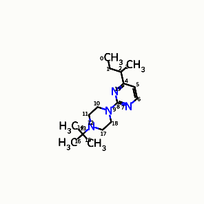 CCC(C)c1ccnc(N2CCN(C(C)(C)C)CC2)n1